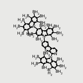 Bc1c(B)c(B)c2c(c1B)c1c(B)c(-n3c4c(B)c(B)c(B)c(B)c4c4c(B)c(B)c(B)c(B)c43)c(B)c(B)c1n2-c1ccc2sc3c(-n4c5c(B)c(B)c(B)c(B)c5c5c(B)c(B)c(B)c(B)c54)nccc3c2c1